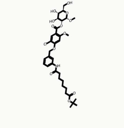 COc1cc(OCc2cccc(NC(=O)CCCCCCC(=O)OC(C)(C)C)c2)c(Cl)cc1C(=O)O[C@H]1[C@@H](OC)O[C@H](CO)[C@@H](O)[C@@H]1O